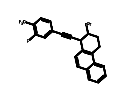 CCCC1CCc2c(ccc3ccccc23)C1C#Cc1ccc(C(F)(F)F)c(F)c1